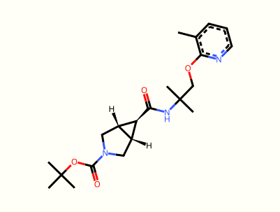 Cc1cccnc1OCC(C)(C)NC(=O)[C@H]1[C@@H]2CN(C(=O)OC(C)(C)C)C[C@@H]21